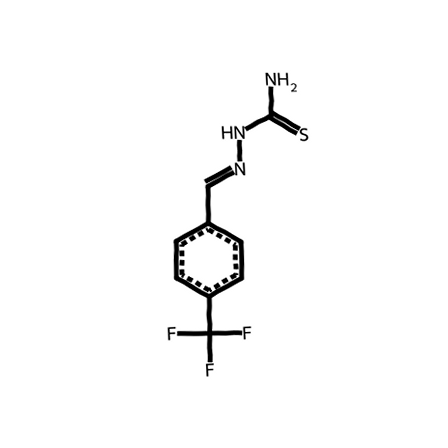 NC(=S)NN=Cc1ccc(C(F)(F)F)cc1